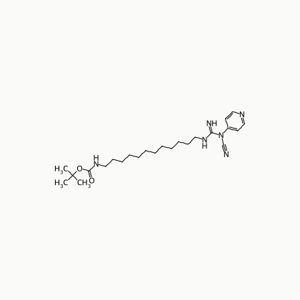 CC(C)(C)OC(=O)NCCCCCCCCCCCCNC(=N)N(C#N)c1ccncc1